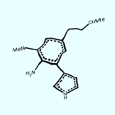 CNc1cc(CCOC)cc(-c2cc[nH]c2)c1N